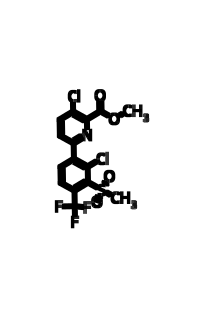 COC(=O)c1nc(-c2ccc(C(F)(F)F)c(S(C)(=O)=O)c2Cl)ccc1Cl